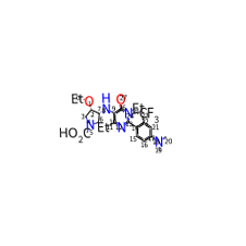 CCO[C@H]1CN(C(=O)O)C[C@H]1Nc1c(CC)nc(-c2ccc(N(C)C)cc2C(F)(F)F)n(CC)c1=O